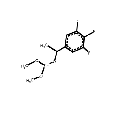 CO[SiH](OC)OC(C)c1cc(F)c(F)c(F)c1